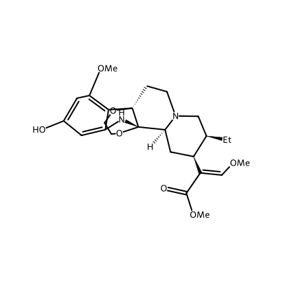 CC[C@@H]1CN2CC[C@@]34OCCO[C@@]3(Nc3cc(O)cc(OC)c34)[C@@H]2C[C@@H]1/C(=C\OC)C(=O)OC